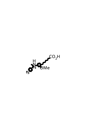 COc1cc(-c2nc(-c3ccc(N(C)C)cc3)c(C)[nH]2)ccc1CCCCCCCC(=O)O